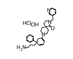 Cl.Cl.NCCCC1(c2ccccc2)C=CC=C(N2CCC3(CCN(Cc4cccnc4)C3=O)CC2)C1